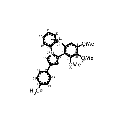 COc1cc(C=O)c(-c2cc(-c3ccc(C)cc3)cn2-c2ccccc2)c(OC)c1OC